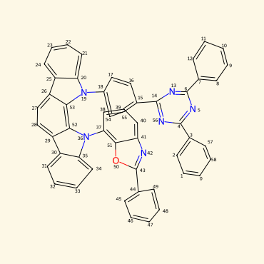 c1ccc(-c2nc(-c3ccccc3)nc(-c3ccc(-n4c5ccccc5c5ccc6c7ccccc7n(-c7cccc8nc(-c9ccccc9)oc78)c6c54)cc3)n2)cc1